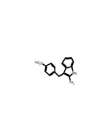 Cc1[nH]c2ccccc2c1Cc1ccc(C(=O)O)cc1